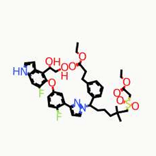 CCOC(=O)CCc1cccc(C(CCCC(C)(C)CS(=O)(=O)CC(=O)OCC)n2ccc(-c3cc(Oc4c(F)cc5[nH]ccc5c4C(O)CO)ccc3F)n2)c1